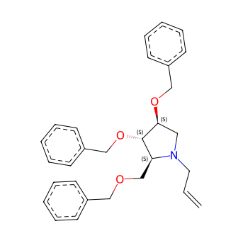 C=CCN1C[C@H](OCc2ccccc2)[C@@H](OCc2ccccc2)[C@@H]1COCc1ccccc1